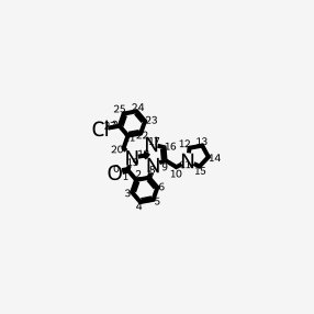 O=c1c2ccccc2n2c(CN3CCCC3)cnc2n1Cc1ccccc1Cl